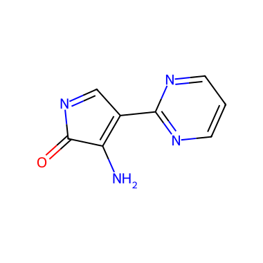 NC1=C(c2ncccn2)C=NC1=O